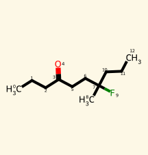 CCCC(=O)CCC(C)(F)CCC